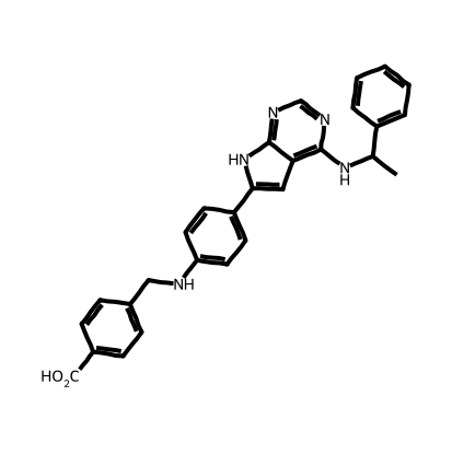 CC(Nc1ncnc2[nH]c(-c3ccc(NCc4ccc(C(=O)O)cc4)cc3)cc12)c1ccccc1